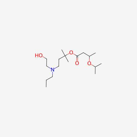 CCCN(CCO)CCC(C)(C)OC(=O)CC(C)OC(C)C